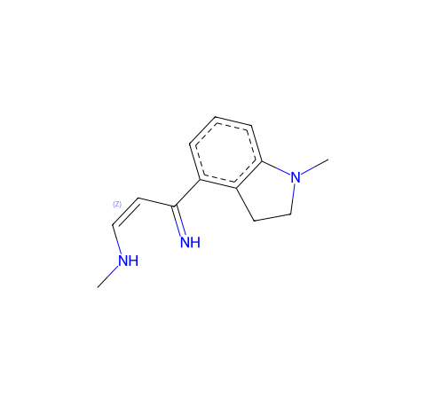 CN/C=C\C(=N)c1cccc2c1CCN2C